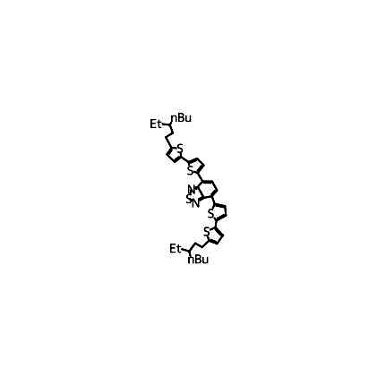 CCCCC(CC)CCc1ccc(-c2ccc(-c3ccc(-c4ccc(-c5ccc(CCC(CC)CCCC)s5)s4)c4nsnc34)s2)s1